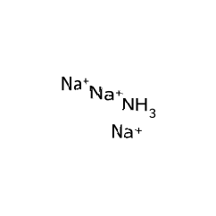 N.[Na+].[Na+].[Na+]